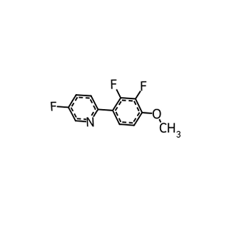 COc1ccc(-c2ccc(F)cn2)c(F)c1F